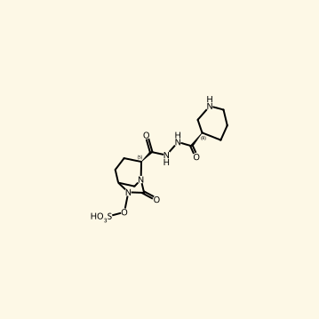 O=C(NNC(=O)[C@@H]1CCC2CN1C(=O)N2OS(=O)(=O)O)[C@@H]1CCCNC1